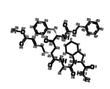 CCNC(=O)C1CC2CCCCC2N1C(=O)C(C)NC(=O)[C@H](CC/C=C/C(=O)OC(C)C)CC(=O)[C@H](Cc1ccccc1)NC(=O)OCc1ccccc1